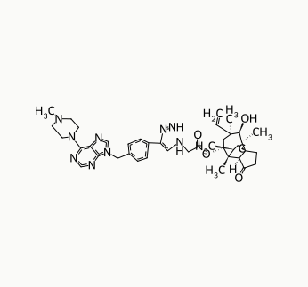 C=C[C@]1(C)C[C@@H](OC(=O)CN/C=C(\N=N)c2ccc(Cn3cnc4c(N5CCN(C)CC5)ncnc43)cc2)[C@]2(C)[C@H](C)CC[C@]3(CCC(=O)[C@H]32)[C@@H](C)[C@@H]1O